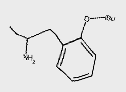 CCC(C)Oc1ccccc1CC(C)N